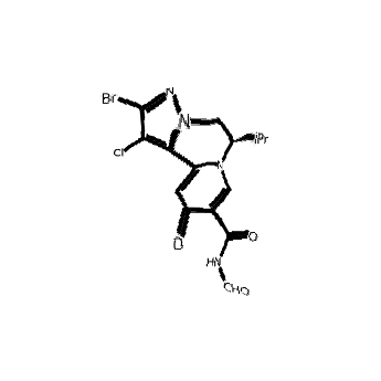 CC(C)[C@@H]1Cn2nc(Br)c(Cl)c2-c2cc(=O)c(C(=O)NC=O)cn21